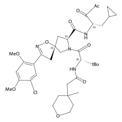 COc1cc(OC)c(C2=NO[C@]3(C2)C[C@@H](C(=O)N[C@@H](CC2CC2)C(=O)C(C)=O)N(C(=O)[C@@H](NC(=O)CC2(C)CCOCC2)C(C)(C)C)C3)cc1Cl